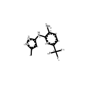 Cc1cc(Nc2nc(C(F)(F)F)ccc2N)on1